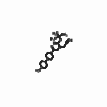 C#CCN(CC(=O)N1CCN(C2CCN(C)CC2)CC1)C(=O)OC(C)(C)C